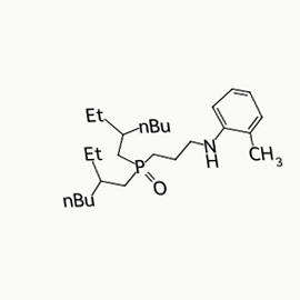 CCCCC(CC)CP(=O)(CCCNc1ccccc1C)CC(CC)CCCC